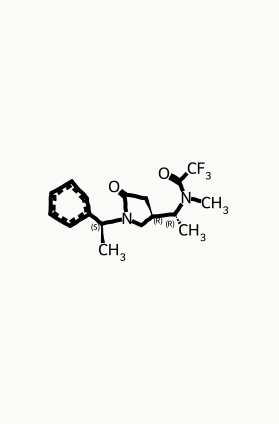 C[C@H]([C@@H]1CC(=O)N([C@@H](C)c2ccccc2)C1)N(C)C(=O)C(F)(F)F